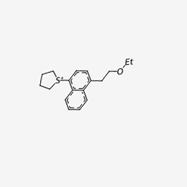 CCOCCc1ccc([S+]2CCCC2)c2ccccc12